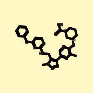 Cc1nc(-c2nnn(C)c2CNc2nccc(Oc3ccccc3)n2)cnc1O[C@H]1CCC[C@H](C(=O)O)C1